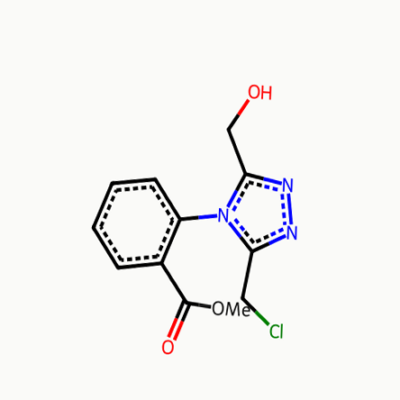 COC(=O)c1ccccc1-n1c(CO)nnc1CCl